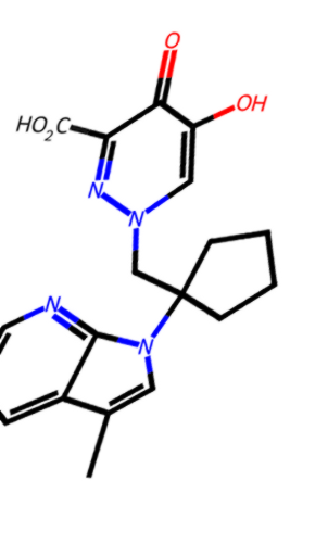 Cc1cn(C2(Cn3cc(O)c(=O)c(C(=O)O)n3)CCCC2)c2ncccc12